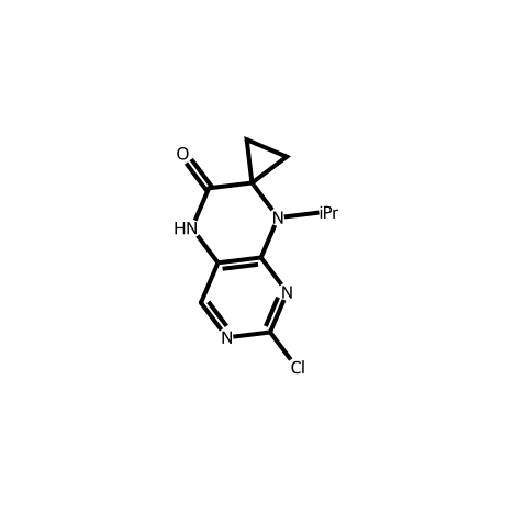 CC(C)N1c2nc(Cl)ncc2NC(=O)C12CC2